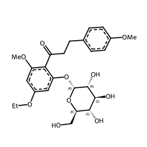 CCOc1cc(OC)c(C(=O)CCc2ccc(OC)cc2)c(O[C@H]2O[C@H](CO)[C@@H](O)[C@H](O)[C@H]2O)c1